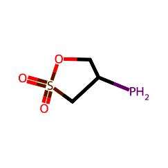 O=S1(=O)CC(P)CO1